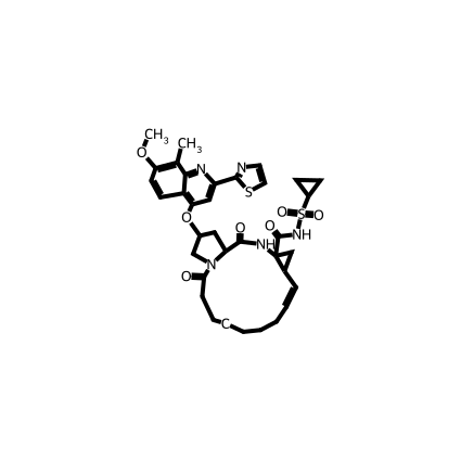 COc1ccc2c(OC3CC4C(=O)NC5(C(=O)NS(=O)(=O)C6CC6)CC5C=CCCCCCCC(=O)N4C3)cc(-c3nccs3)nc2c1C